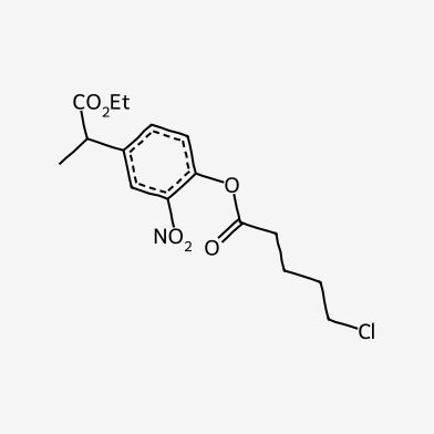 CCOC(=O)C(C)c1ccc(OC(=O)CCCCCl)c([N+](=O)[O-])c1